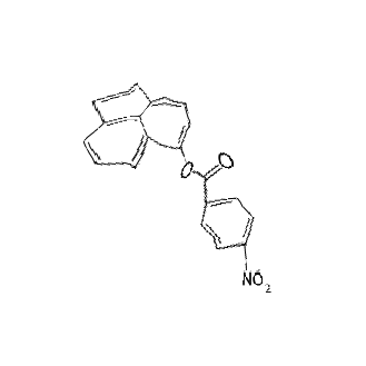 O=C(Oc1ccc2c3c(cccc13)C=C2)c1ccc([N+](=O)[O-])cc1